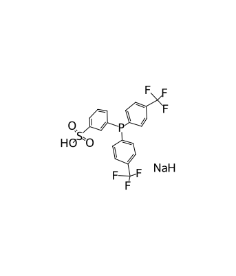 O=S(=O)(O)c1cccc(P(c2ccc(C(F)(F)F)cc2)c2ccc(C(F)(F)F)cc2)c1.[NaH]